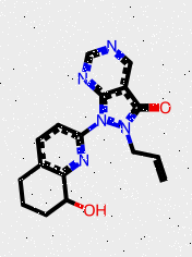 C=CCn1c(=O)c2cncnc2n1-c1ccc2c(n1)C(O)CCC2